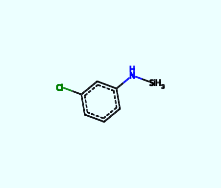 [SiH3]Nc1cccc(Cl)c1